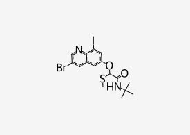 CSC(Oc1cc(I)c2ncc(Br)cc2c1)C(=O)NC(C)(C)C